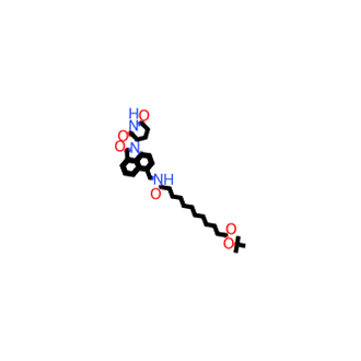 CC(C)(C)OC(=O)CCCCCCCCCCC(=O)NCc1ccc2c3c(cccc13)C(=O)N2C1CCC(=O)NC1=O